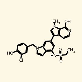 CCS(=O)(=O)Nc1cc(-c2cn(C)c3c(O)nccc23)cc2c1ccn2Cc1ccc(O)c(Cl)c1